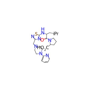 CC(C)CC(Nc1nc(CN2CCN(c3ccccn3)CC2)ns1)C(=O)N1CCCC1C(=O)O